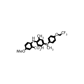 COc1ccc(Nc2ccc(N(C)c3ccc(OCC(F)(F)F)cc3)cc2C)c(C(=O)O)c1